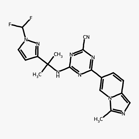 Cc1ncc2ccc(-c3nc(C#N)nc(NC(C)(C)c4ccn(C(F)F)n4)n3)cn12